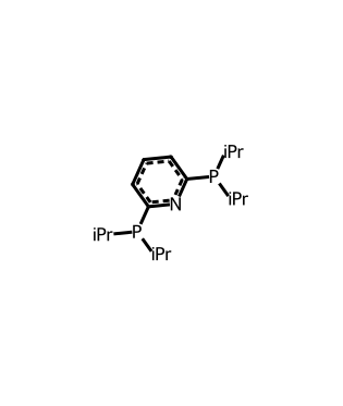 CC(C)P(c1cccc(P(C(C)C)C(C)C)n1)C(C)C